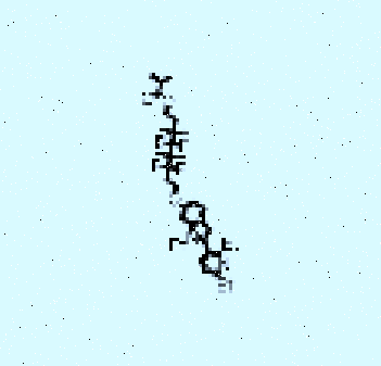 C=C(C)C(=O)OCCC(F)(F)C(F)(F)C(F)(F)C(F)(F)CCOc1ccc2cc(-c3ccc(CC)nc3CC)n(CC)c2c1